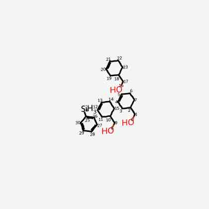 OCC1CC=CCC1.OCC1CC=CCC1.OCC1CC=CCC1.[SiH3]c1ccccc1